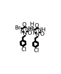 O=c1[nH]c(=O)n(CCc2ccc(Cl)cc2)nc1Br.O=c1[nH]c(=O)n(CCc2ccc(Cl)cc2)nc1O